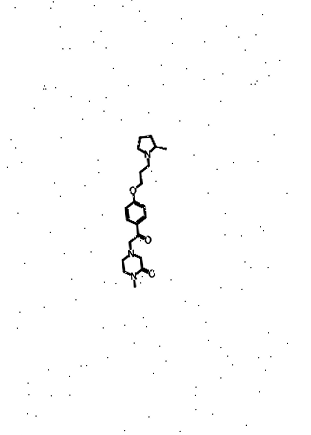 C[C@@H]1CCCN1CCCOc1ccc(C(=O)CN2CCN(C)C(=O)C2)cc1